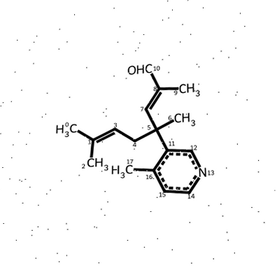 CC(C)=CCC(C)(/C=C(\C)C=O)c1cnccc1C